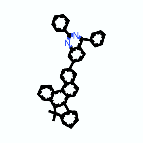 CC1(C)c2ccccc2-c2c1c1ccccc1c1c2ccc2cc(-c3ccc4c(-c5ccccc5)nc(-c5ccccc5)nc4c3)ccc21